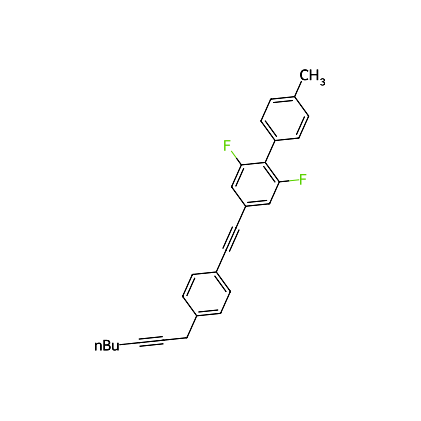 CCCCC#CCc1ccc(C#Cc2cc(F)c(-c3ccc(C)cc3)c(F)c2)cc1